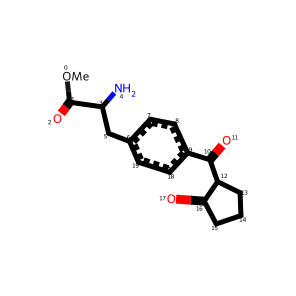 COC(=O)C(N)Cc1ccc(C(=O)C2CCCC2=O)cc1